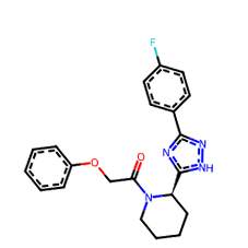 O=C(COc1ccccc1)N1CCCC[C@@H]1c1nc(-c2ccc(F)cc2)n[nH]1